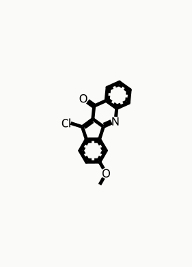 COc1ccc2c(c1)C1=Nc3ccccc3C(=O)C1=C2Cl